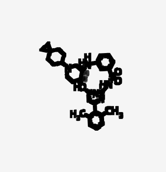 Cc1cccc(C)c1-c1cc2nc(n1)NS(=O)(=O)c1cccc(c1)N[C@@H]1CN(C3CCC4(CC3)CC4)CC[C@H]1O2